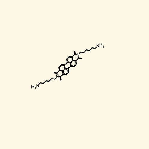 C=C1c2ccc3c4ccc5c6c(ccc(c7ccc(c2c37)C(=C)N1CCCCCCN)c64)C(=C)N(CCCCCCN)C5=C